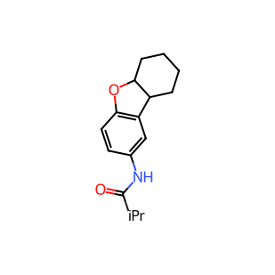 CC(C)C(=O)Nc1ccc2c(c1)C1CCCCC1O2